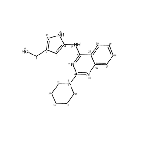 OCc1cc(Nc2nc(N3CCCCC3)nc3ccccc23)[nH]n1